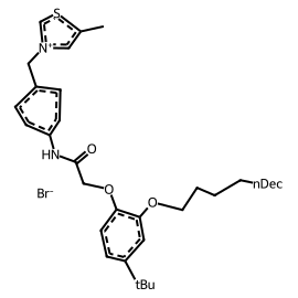 CCCCCCCCCCCCCCOc1cc(C(C)(C)C)ccc1OCC(=O)Nc1ccc(C[n+]2csc(C)c2)cc1.[Br-]